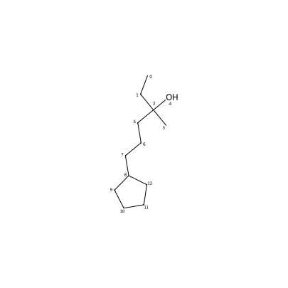 CCC(C)(O)CCCC1CCCC1